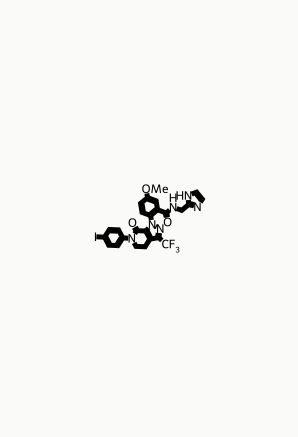 COc1ccc(-n2nc(C(F)(F)F)c3c2C(=O)N(c2ccc(I)cc2)CC3)c(C(=O)NCc2ncc[nH]2)c1